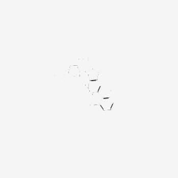 Cc1cc(C(F)(F)F)cc(O)c1-c1cc2c(nn1)N([C@@H]1C[C@H](O)C[C@H]1O)CC2